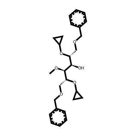 CO[C@@H]([C@H](O)[C@@H](COCc1ccccc1)OC1CC1)[C@@H](COCc1ccccc1)OC1CC1